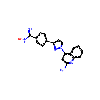 N=C(NO)c1ccc(-c2ccn(-c3cc(N)nc4ccccc34)n2)cc1